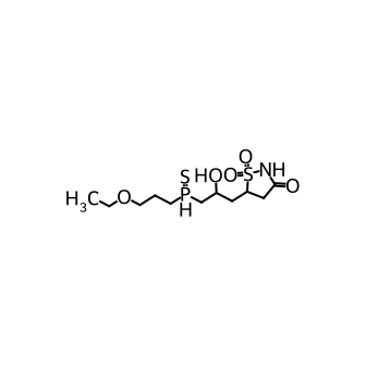 CCOCCC[PH](=S)CC(O)CC1CC(=O)NS1(=O)=O